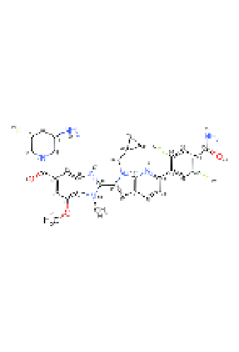 COc1cc(C(=O)N2C[C@H](N)C[C@@H](F)C2)cc2nc(-c3cc4ccc(-c5cc(F)c(C(N)=O)cc5F)nc4n3CC3CC3)n(C)c12